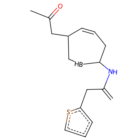 C=C(Cc1cccs1)NC1BCC(CC(C)=O)C=CC1